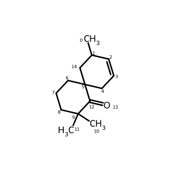 CC1C=CCC2(CCCC(C)(C)C2=O)C1